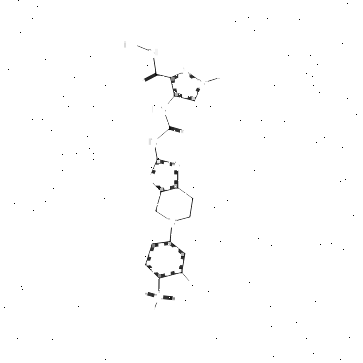 CC(C)NC(=O)c1nn(C)cc1NC(=O)Nc1nc2c(s1)CN(c1ccc(S(C)(=O)=O)c(F)c1)CC2